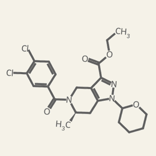 CCOC(=O)c1nn(C2CCCCO2)c2c1CN(C(=O)c1ccc(Cl)c(Cl)c1)[C@H](C)C2